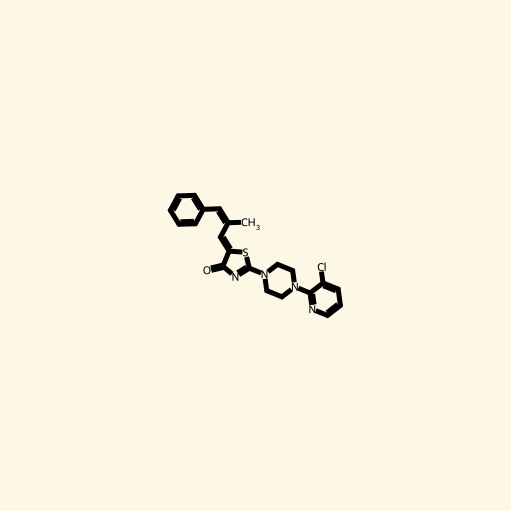 CC(=Cc1ccccc1)C=C1SC(N2CCN(c3ncccc3Cl)CC2)=NC1=O